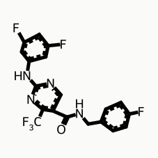 O=C(NCc1ccc(F)cc1)c1cnc(Nc2cc(F)cc(F)c2)nc1C(F)(F)F